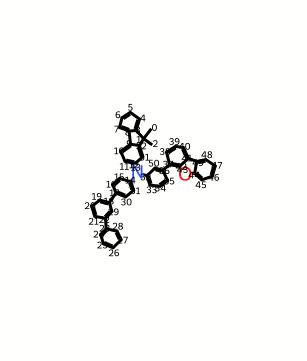 CC1(C)c2ccccc2-c2ccc(N(c3ccc(-c4cccc(-c5ccccc5)c4)cc3)c3cccc(-c4cccc5c4oc4ccccc45)c3)cc21